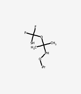 CC(C)OPC(C)(C)OC(F)(F)S